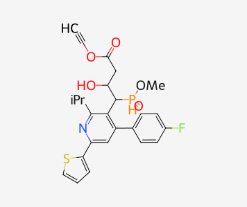 C#COC(=O)CC(O)C(c1c(-c2ccc(F)cc2)cc(-c2cccs2)nc1C(C)C)[PH](=O)OC